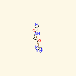 Cn1ncc2c(SCC(=O)c3ccc(CNC(=O)Cc4ccncc4)s3)ncnc21